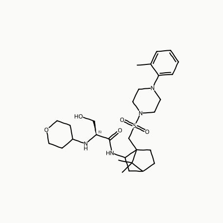 Cc1ccccc1N1CCN(S(=O)(=O)CC23CCC(CC2NC(=O)[C@H](CO)NC2CCOCC2)C3(C)C)CC1